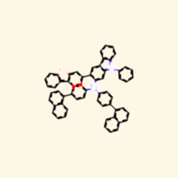 c1ccc(-n2c3ccccc3c3cc(-c4ccc5c(c4)oc4ccccc45)c(N(c4ccc(-c5cccc6ccccc56)cc4)c4ccc(-c5cccc6ccccc56)cc4)cc32)cc1